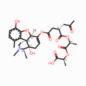 CC(=O)C[C@@H](CC(=O)OC1=CC[C@@]2(O)[C@@H](C)N(C)CC[C@@]23c2c(C)ccc(O)c2O[C@@H]13)C(=O)O[C@@H](C)C(=O)O[C@@H](C)C(=O)O